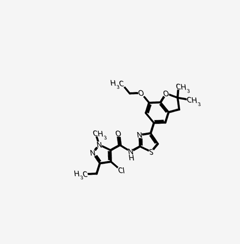 CCOc1cc(-c2csc(NC(=O)c3c(Cl)c(CC)nn3C)n2)cc2c1OC(C)(C)C2